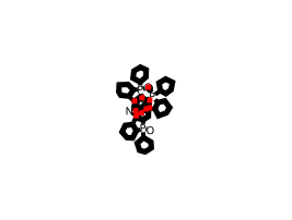 O=P(c1ccccc1)(c1ccccc1)c1ccccc1-c1nc(-c2ccccc2P(=O)(c2ccccc2)c2ccccc2)nc(-c2ccccc2P(=O)(c2ccccc2)c2ccccc2)n1